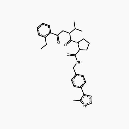 CCc1ccccc1C(=O)CC(C(=O)N1CCCC1C(=O)NCc1ccc(-c2scnc2C)cc1)C(C)C